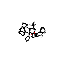 CC1(C)c2ccccc2-c2c(N(c3ccccc3-c3ccc4c(c3)sc3ccccc34)c3cccc4ccccc34)cccc21